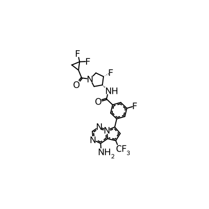 Nc1ncnn2c(-c3cc(F)cc(C(=O)N[C@@H]4CN(C(=O)C5CC5(F)F)C[C@@H]4F)c3)cc(C(F)(F)F)c12